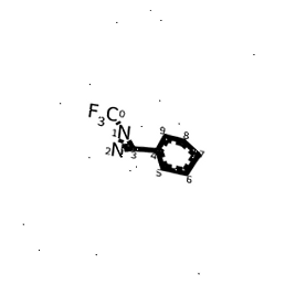 FC(F)(F)N1N=C1c1ccccc1